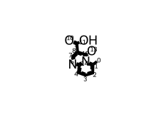 Cc1cccc2ncc(C(=O)O)c(=O)n12